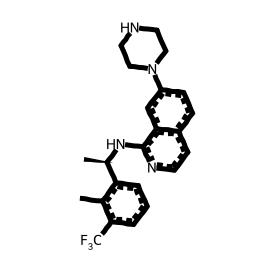 Cc1c([C@@H](C)Nc2nccc3ccc(N4CCNCC4)cc23)cccc1C(F)(F)F